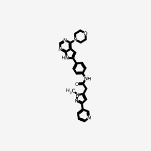 Cn1nc(-c2cccnc2)cc1CC(=O)Nc1ccc(-c2cc3c(N4CCOCC4)ncnc3[nH]2)cc1